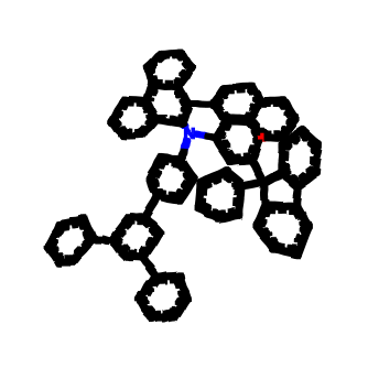 c1ccc(-c2cc(-c3ccccc3)cc(-c3ccc(N(c4cccc(C5(c6ccccc6)c6ccccc6-c6ccccc65)c4)c4c(-c5ccc6ccccc6c5)c5ccccc5c5ccccc45)cc3)c2)cc1